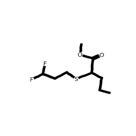 CCCC(SCCC(F)F)C(=O)OC